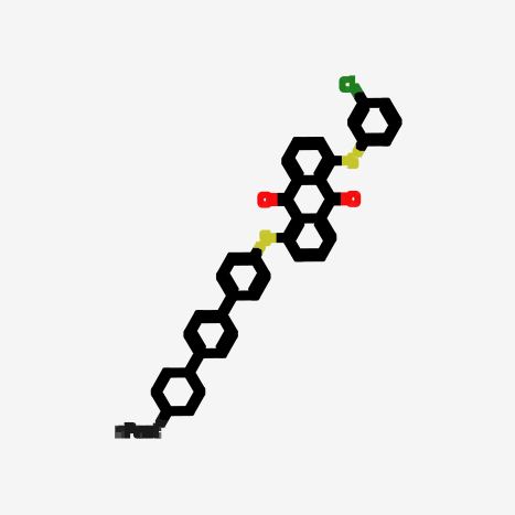 CCCCCC1CCC(c2ccc(-c3ccc(Sc4cccc5c4C(=O)c4cccc(Sc6cccc(Cl)c6)c4C5=O)cc3)cc2)CC1